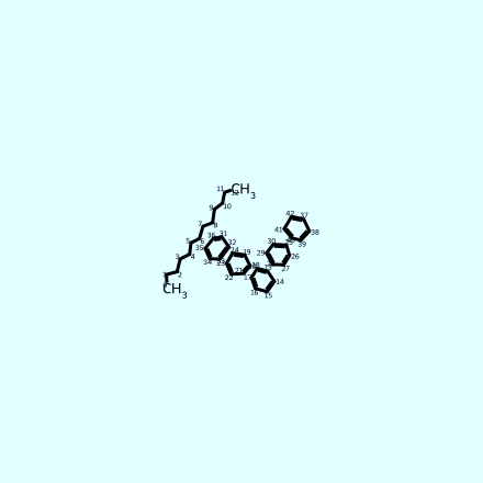 CCCCCCCCCCCCC.c1ccccc1.c1ccccc1.c1ccccc1.c1ccccc1.c1ccccc1